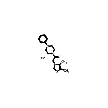 Br.CC1=C(C)N(CC(=O)N2CCN(c3ccccc3)CC2)CS1